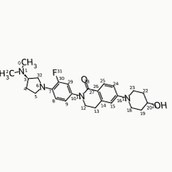 CN(C)[C@@H]1CCN(c2ccc(N3CCc4cc(N5CCC(O)CC5)ccc4C3=O)cc2F)C1